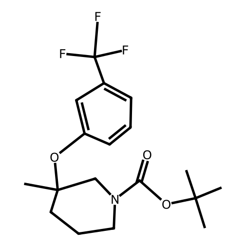 CC(C)(C)OC(=O)N1CCCC(C)(Oc2cccc(C(F)(F)F)c2)C1